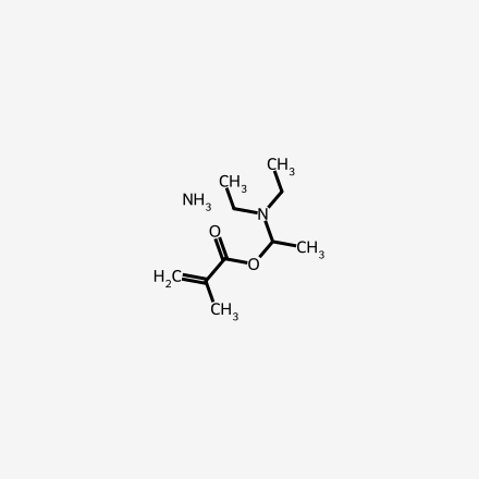 C=C(C)C(=O)OC(C)N(CC)CC.N